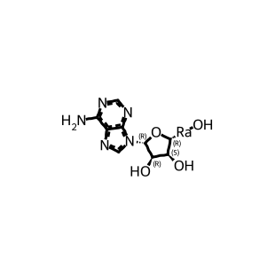 Nc1ncnc2c1ncn2[C@@H]1O[C@H]([Ra][OH])[C@@H](O)[C@H]1O